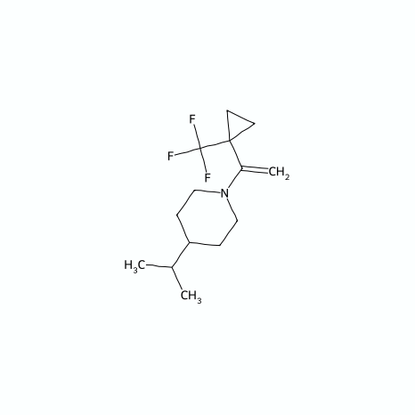 C=C(N1CCC(C(C)C)CC1)C1(C(F)(F)F)CC1